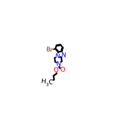 CCCCOC(=O)N1CCn2c(nc3cccc(Br)c32)C1